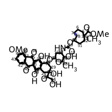 COC(=O)[C@]1(C)CC/C=C/[C@H](OC(=O)N[C@H]2C[C@H](O[C@H]3C[C@](O)(C(=O)CO)Cc4c(O)c5c(c(O)c43)C(=O)c3c(OC)cccc3C5=O)O[C@@H](C)[C@H]2O)CC1